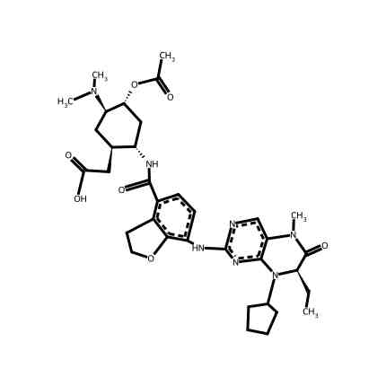 CC[C@@H]1C(=O)N(C)c2cnc(Nc3ccc(C(=O)N[C@H]4C[C@@H](OC(C)=O)[C@H](N(C)C)C[C@@H]4CC(=O)O)c4c3OCC4)nc2N1C1CCCC1